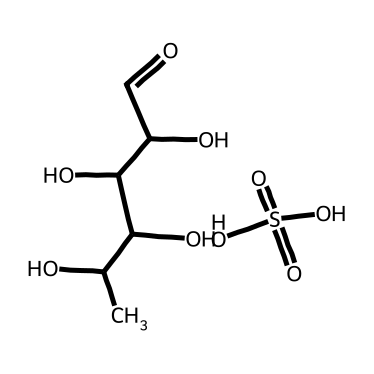 CC(O)C(O)C(O)C(O)C=O.O=S(=O)(O)O